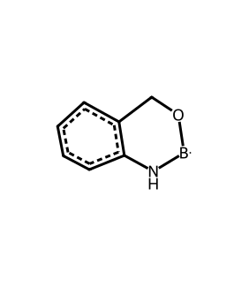 [B]1Nc2ccccc2CO1